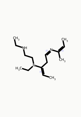 C/C=C(C)\N=C/C/C(=C\C)N(CC)CCNCC